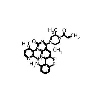 C=CC(=O)N1C[C@H](C)N(c2nc(=O)n(-c3c(C)ccnc3C(C)C)c3nc(-c4c(N)cccc4F)c(F)cc23)C[C@H]1C